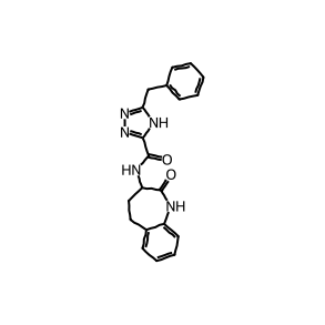 O=C(NC1CCc2ccccc2NC1=O)c1nnc(Cc2ccccc2)[nH]1